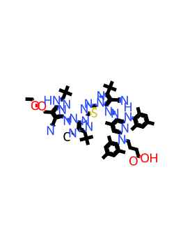 [C-]#[N+]c1c(C(C)(C)C)nn(-c2nnc(-n3nc(C(C)(C)C)c(C#N)c3N=Nc3c(C)cc(N(CCCC(=O)O)c4c(C)cc(C)cc4C)nc3Nc3c(C)cc(C)cc3C)s2)c1N=Nc1c(C#N)c(COOCC)c2[nH]c(C(C)(C)C)nn12